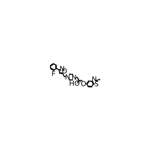 Cc1nc2cc(OC[C@@H](O)CN3CCN(Cc4cc(-c5ccccc5F)no4)CC3)ccc2s1